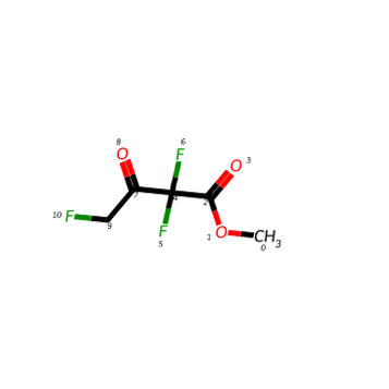 COC(=O)C(F)(F)C(=O)CF